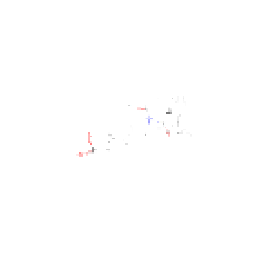 CCC1(C)CC(=O)N(CCCCCC(=O)O)C1=O